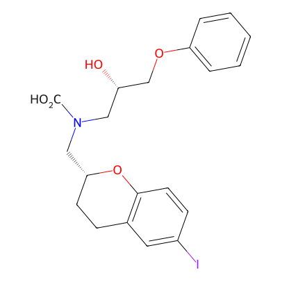 O=C(O)N(C[C@H](O)COc1ccccc1)C[C@H]1CCc2cc(I)ccc2O1